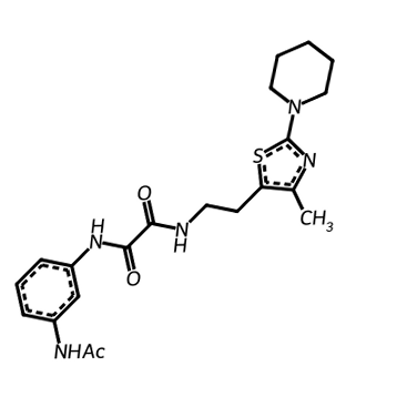 CC(=O)Nc1cccc(NC(=O)C(=O)NCCc2sc(N3CCCCC3)nc2C)c1